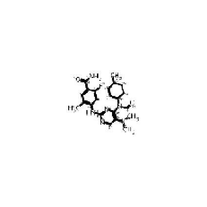 Cc1cc(C(N)=O)c(F)cc1Nc1ncc(N(C)C)c(N(C=O)C2CCC(C)CC2)n1